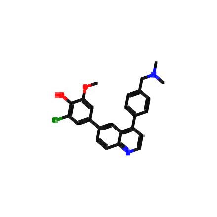 COc1cc(-c2ccc3nc[c]c(-c4ccc(CN(C)C)cc4)c3c2)cc(Cl)c1O